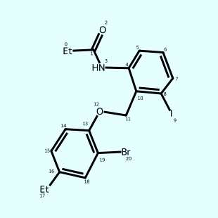 CCC(=O)Nc1cccc(I)c1COc1ccc(CC)cc1Br